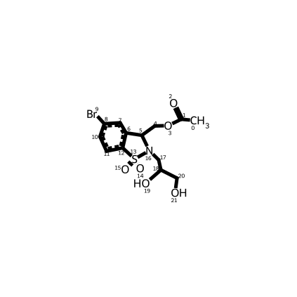 CC(=O)OCC1c2cc(Br)ccc2S(=O)(=O)N1CC(O)CO